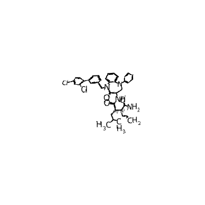 C=CC[C@H](C(N)=O)[C@@H](CC(C)C)C(=O)NC1CN(c2ccccc2)c2ccccc2N(Cc2cccc(-c3ccc(Cl)cc3Cl)c2)C1=O